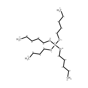 CCCCCO[Si](OCCCC)(OCCCCC)OCCCCC